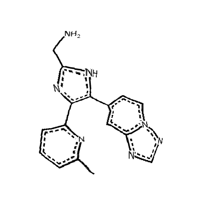 Cc1cccc(-c2nc(CN)[nH]c2-c2ccn3ncnc3c2)n1